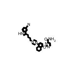 N#Cc1ccc2[nH]cc(CCCCN3CCN(c4ccc(Oc5nccc(C(N)=O)n5)c5c4CCCC5)CC3)c2c1